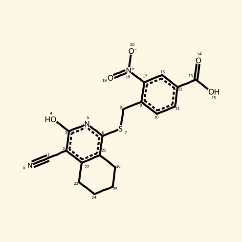 N#Cc1c(O)nc(SCc2ccc(C(=O)O)cc2[N+](=O)[O-])c2c1CCCC2